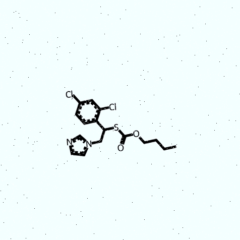 CCCCOC(=O)SC(Cn1ccnc1)c1ccc(Cl)cc1Cl